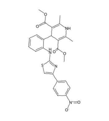 COC(=O)C1=C(C)NC(C)=C(C(=O)OC)C1c1ccccc1Nc1nc(-c2ccc([N+](=O)[O-])cc2)cs1